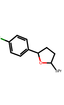 CCCC1CCC(c2ccc(F)cc2)O1